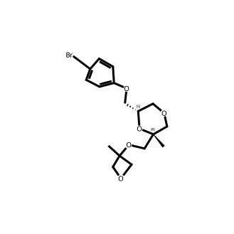 CC1(OC[C@@]2(C)COC[C@@H](COc3ccc(Br)cc3)O2)COC1